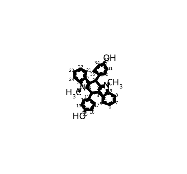 Cn1c2c(c3ccccc31)C(c1ccc(O)cc1)c1c(c3ccccc3n1C)C2c1ccc(O)cc1